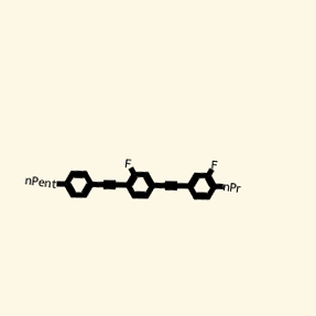 CCCCCc1ccc(C#Cc2ccc(C#Cc3ccc(CCC)c(F)c3)cc2F)cc1